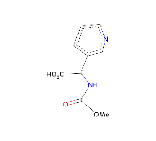 COC(=O)NC(C(=O)O)c1cccnc1